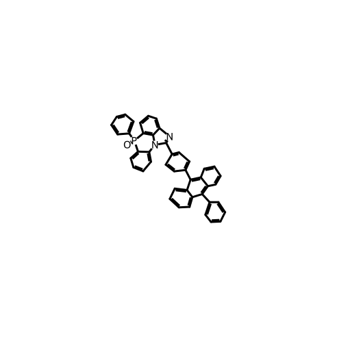 O=P1(c2ccccc2)c2ccccc2-n2c(-c3ccc(-c4c5ccccc5c(-c5ccccc5)c5ccccc45)cc3)nc3cccc1c32